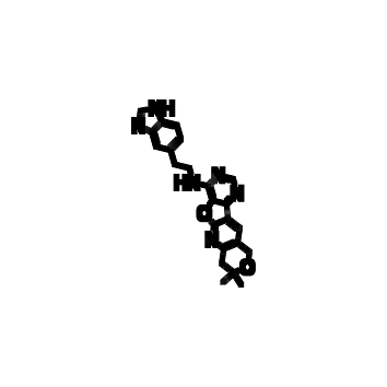 CC1(C)Cc2nc3oc4c(NCCc5ccc6[nH]cnc6c5)ncnc4c3cc2CO1